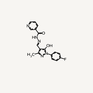 Cc1nn(-c2ccc(F)cc2)c(O)c1C=NNC(=O)c1cccnc1